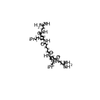 CC(C)CCn1cc(NC(=O)CCCCC(=O)Nc2cc(C(=O)NCCC(=N)N)n(CCC(C)C)c2)cc1C(=O)NCCC(=N)N